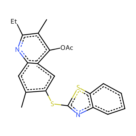 CCc1nc2cc(C)c(Sc3nc4ccccc4s3)cc2c(OC(C)=O)c1C